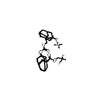 CC(F)(F)COC(=O)C12CC3CC(CC(OC(=O)OCC45CC6CC(C4)CC(O[Si](C)(C)C)(C6)C5)(C3)C1)C2